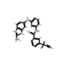 CC(C)(C#N)c1cccc(C(=O)Nc2cccc(Oc3ccc4nc(N)sc4c3)c2)c1